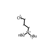 [C-]#[N+]CCCN(CCCC)CCCC